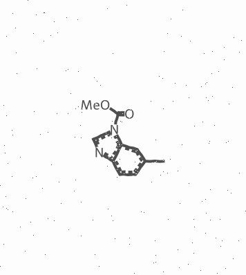 COC(=O)n1cnc2ccc(C)cc21